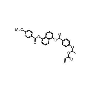 C=CC(=O)OC(C)Oc1ccc(C(=O)Oc2cccc3c(OC(=O)c4ccc(OC)cc4)cccc23)cc1